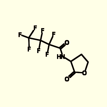 O=C1OCCC1NC(=O)C(F)(F)C(F)(F)C(F)(F)F